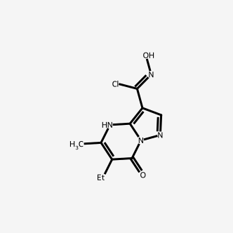 CCc1c(C)[nH]c2c(/C(Cl)=N/O)cnn2c1=O